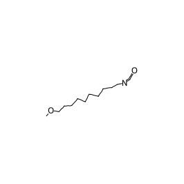 COCCCCCCCCCCN=C=O